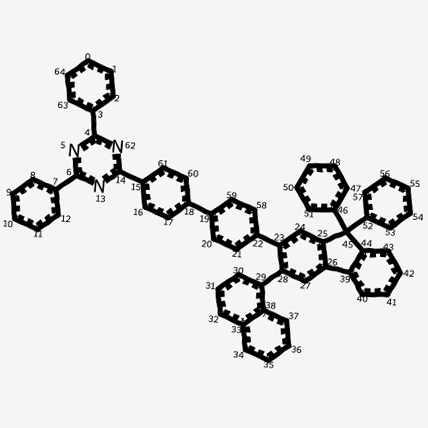 c1ccc(-c2nc(-c3ccccc3)nc(-c3ccc(-c4ccc(-c5cc6c(cc5-c5cccc7ccccc57)-c5ccccc5C6(c5ccccc5)c5ccccc5)cc4)cc3)n2)cc1